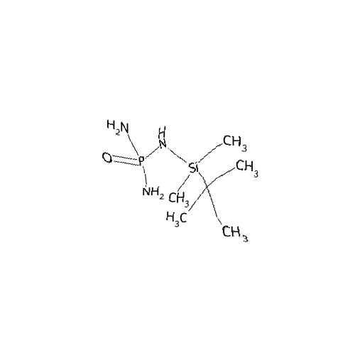 CC(C)(C)[Si](C)(C)NP(N)(N)=O